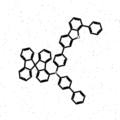 c1ccc(-c2ccc(N(c3ccc(-c4ccc5c(c4)oc4c(-c6ccccc6)cccc45)cc3)c3cccc4c3-c3ccccc3C43c4ccccc4-c4ccccc43)cc2)cc1